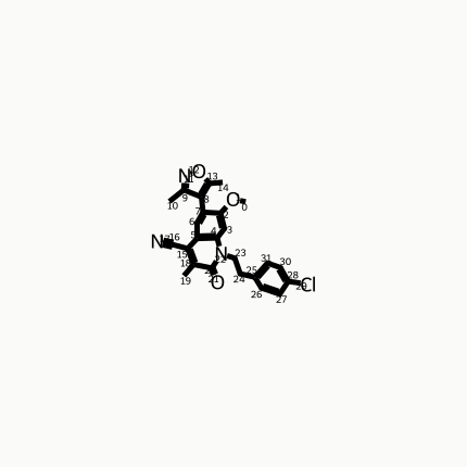 COc1cc2c(cc1-c1c(C)noc1C)c(C#N)c(C)c(=O)n2CCc1ccc(Cl)cc1